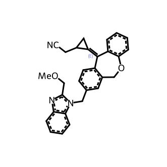 COCc1nc2ccccc2n1Cc1ccc2c(c1)COc1ccccc1/C2=C1\CC1CC#N